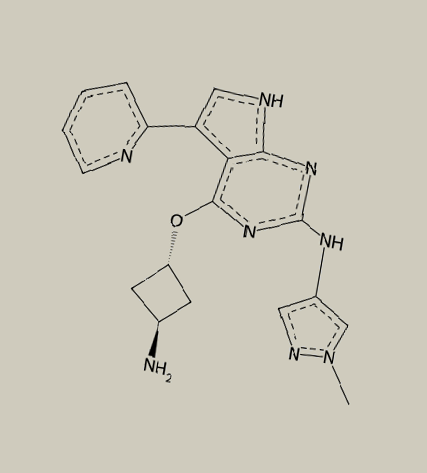 Cn1cc(Nc2nc(O[C@H]3C[C@H](N)C3)c3c(-c4ccccn4)c[nH]c3n2)cn1